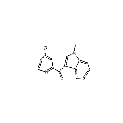 Cn1cc(C(=O)c2cc(Cl)ccn2)c2ccccc21